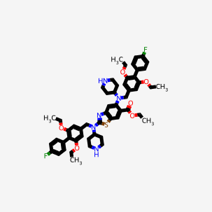 CCOC(=O)c1cc2sc(N(Cc3cc(OCC)c(-c4ccc(F)cc4)c(OCC)c3)C3CCNCC3)nc2cc1N(Cc1cc(OCC)c(-c2ccc(F)cc2)c(OCC)c1)C1CCNCC1